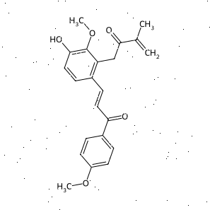 C=C(C)C(=O)Cc1c(C=CC(=O)c2ccc(OC)cc2)ccc(O)c1OC